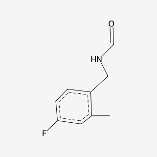 Cc1cc(F)ccc1CNC=O